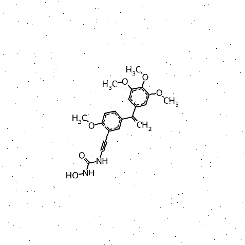 C=C(c1ccc(OC)c(C#CNC(=O)NO)c1)c1cc(OC)c(OC)c(OC)c1